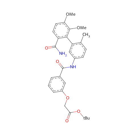 COc1ccc(C(N)=O)c(-c2cc(NC(=O)c3cccc(OCC(=O)OC(C)(C)C)c3)ccc2C)c1OC